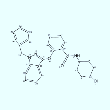 O=C(NC1CCC(O)CC1)c1ccccc1Oc1nn(Cc2ccccc2)c2ccccc12